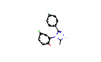 O=CC1NN=C(c2ccc(F)cc2)N1c1cc(Cl)ccc1O